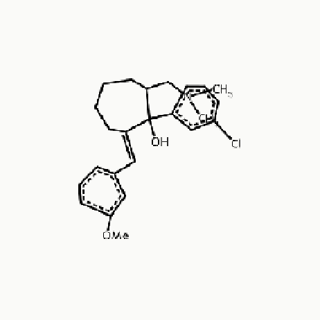 COc1cccc(/C=C2\CCCCC(CN(C)C)C2(O)c2cccc(Cl)c2)c1